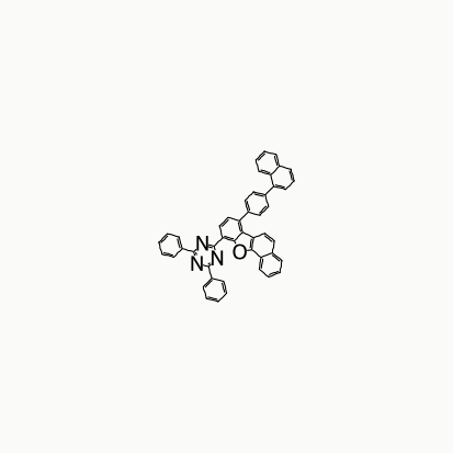 c1ccc(-c2nc(-c3ccccc3)nc(-c3ccc(-c4ccc(-c5cccc6ccccc56)cc4)c4c3oc3c5ccccc5ccc34)n2)cc1